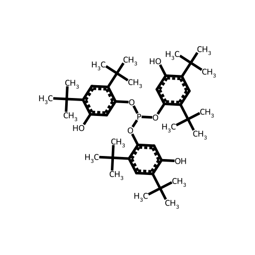 CC(C)(C)c1cc(C(C)(C)C)c(OP(Oc2cc(O)c(C(C)(C)C)cc2C(C)(C)C)Oc2cc(O)c(C(C)(C)C)cc2C(C)(C)C)cc1O